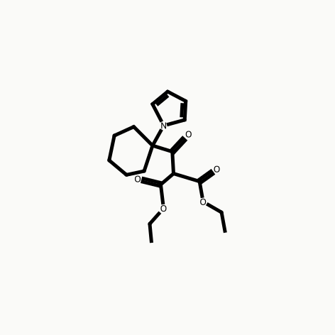 CCOC(=O)C(C(=O)OCC)C(=O)C1(n2cccc2)CCCCC1